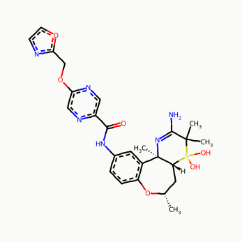 C[C@H]1C[C@@H]2[C@](C)(N=C(N)C(C)(C)S2(O)O)c2cc(NC(=O)c3cnc(OCc4ncco4)cn3)ccc2O1